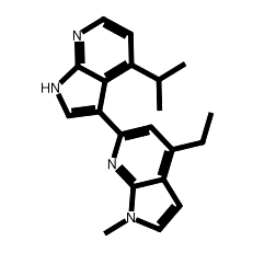 CCc1cc(-c2c[nH]c3nccc(C(C)C)c23)nc2c1ccn2C